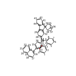 c1ccc(-c2ccccc2N(c2ccc(-c3cccc4ccccc34)cc2)c2ccc3c(c2)C2(CC4CCC2C4)c2ccccc2-3)cc1